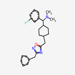 CN(C)C(c1cccc(F)c1)C1CCC(Cc2nc(Cc3ccccc3)no2)CC1